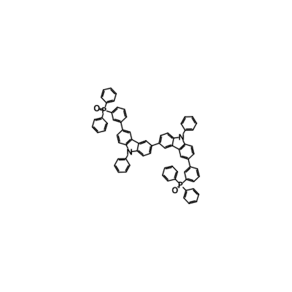 O=P(c1ccccc1)(c1ccccc1)c1cccc(-c2ccc3c(c2)c2cc(-c4ccc5c(c4)c4cc(-c6cccc(P(=O)(c7ccccc7)c7ccccc7)c6)ccc4n5-c4ccccc4)ccc2n3-c2ccccc2)c1